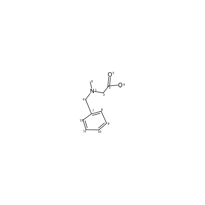 CN(CC([O])=O)Cc1ccccc1